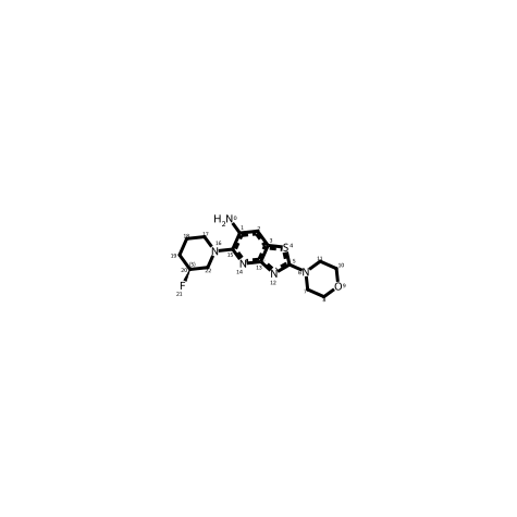 Nc1cc2sc(N3CCOCC3)nc2nc1N1CCC[C@H](F)C1